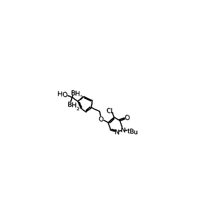 BC(B)(O)c1ccc(COc2cnn(C(C)(C)C)c(=O)c2Cl)cc1